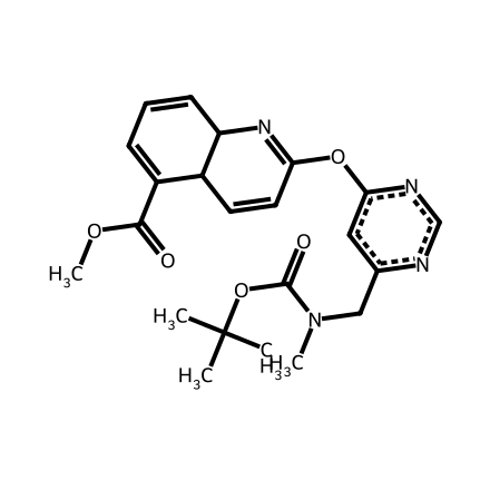 COC(=O)C1=CC=CC2N=C(Oc3cc(CN(C)C(=O)OC(C)(C)C)ncn3)C=CC12